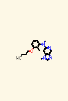 Cc1c(OCCCC#N)cccc1N(C)c1cc2c(cn1)ncn2C